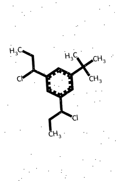 CCC(Cl)c1cc(C(Cl)CC)cc(C(C)(C)C)c1